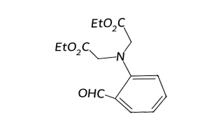 CCOC(=O)CN(CC(=O)OCC)c1ccccc1C=O